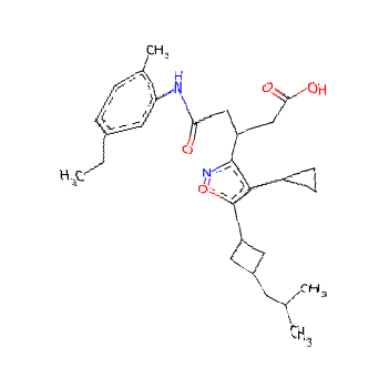 CCc1ccc(C)c(NC(=O)CC(CC(=O)O)c2noc(C3CC(CC(C)C)C3)c2C2CC2)c1